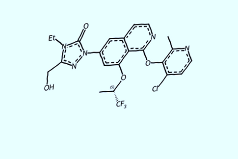 CCn1c(CO)nn(-c2cc(O[C@@H](C)C(F)(F)F)c3c(Oc4c(Cl)ccnc4C)nccc3c2)c1=O